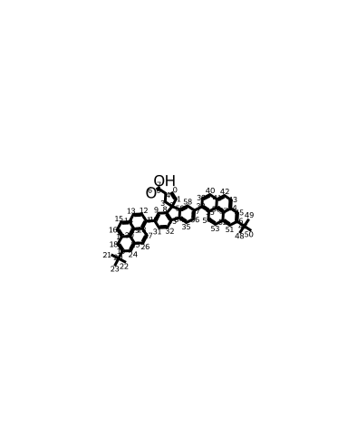 C=CC1(CCC(=O)O)c2cc(-c3ccc4ccc5cc(C(C)(C)C)cc6ccc3c4c56)ccc2-c2ccc(-c3ccc4ccc5cc(C(C)(C)C)cc6ccc3c4c56)cc21